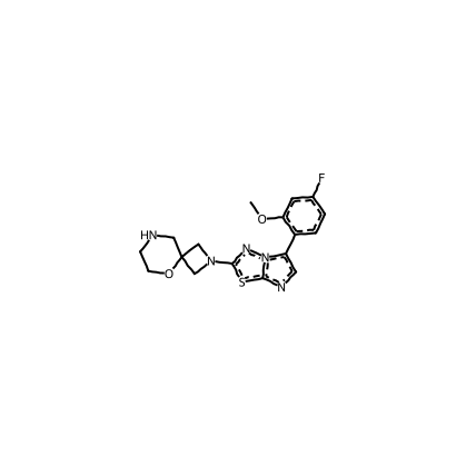 COc1cc(F)ccc1-c1cnc2sc(N3CC4(CNCCO4)C3)nn12